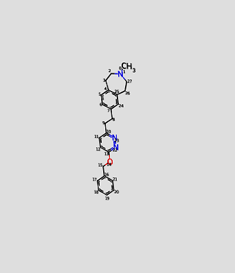 CN1CCc2ccc(CCc3ccc(OCc4ccccc4)nn3)cc2CC1